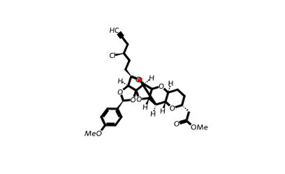 C#CC[C@H](Cl)CC[C@]12O[C@H]3[C@H]4O[C@@H](CC(=O)OC)CC[C@@H]4OC4[C@H]3OC3(O[C@@H](c5ccc(OC)cc5)O[C@H]31)[C@H]4O2